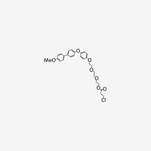 COc1ccc(-c2ccc(Oc3ccc(OCCOCCOCCOC(=O)CCCl)cc3)cc2)cc1